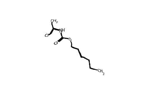 CCCCCCOC(=O)NC(C)Cl